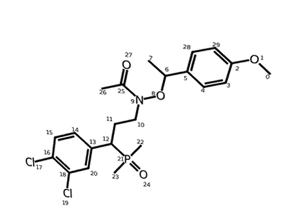 COc1ccc(C(C)ON(CCC(c2ccc(Cl)c(Cl)c2)P(C)(C)=O)C(C)=O)cc1